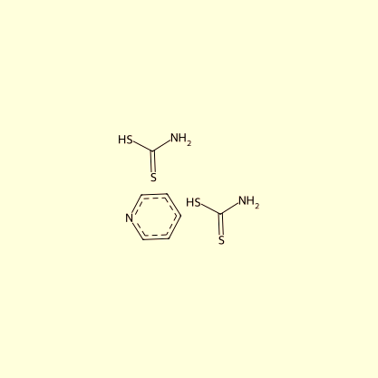 NC(=S)S.NC(=S)S.c1ccncc1